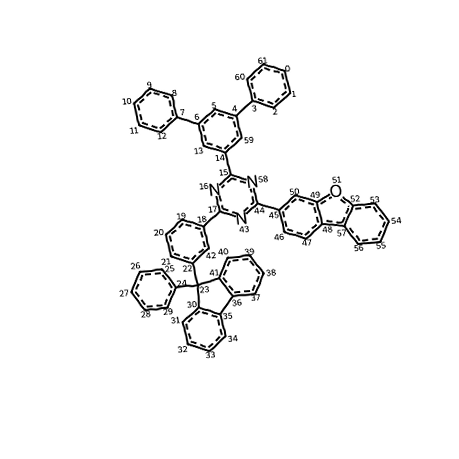 c1ccc(-c2cc(-c3ccccc3)cc(-c3nc(-c4cccc(C5(c6ccccc6)c6ccccc6-c6ccccc65)c4)nc(-c4ccc5c(c4)oc4ccccc45)n3)c2)cc1